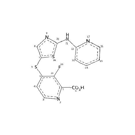 O=C(O)c1nccc(Sc2cnc(Nc3ccccn3)s2)c1F